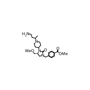 COC[C@@H]1CN(Cc2ccc(C(=O)OC)cc2)C(=O)N1C1CCN(C(C)CCN)CC1